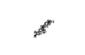 CNS(=O)(=O)c1ccc(CNC(=O)N2CC3(CCCC3)c3cc(-c4cc(F)c(C#N)cc4C)ccc32)cc1